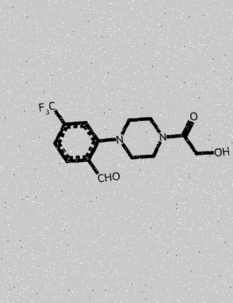 O=Cc1ccc(C(F)(F)F)cc1N1CCN(C(=O)CO)CC1